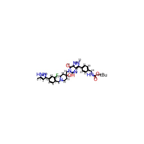 Cc1cc(-c2ccc(CN3CCC(O)(Cn4cnc5c(-c6ccc(CNC(=O)OC(C)(C)C)cc6)n(C)nc5c4=O)CC3)c(F)c2)n[nH]1